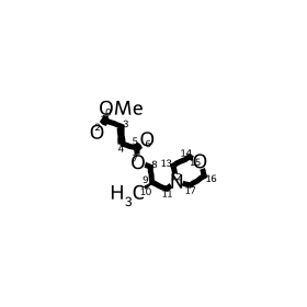 COC(=O)/C=C/C(=O)OC[C@H](C)CN1CCOCC1